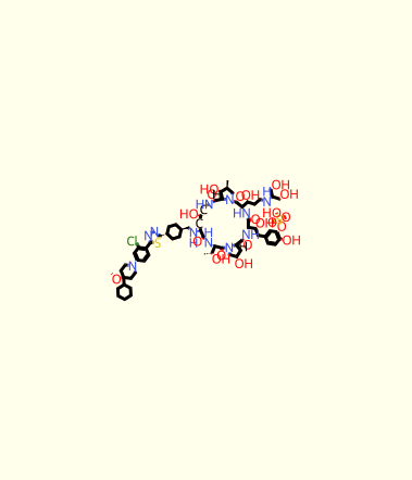 COC1(C2CCCCC2)CCN(c2ccc(-c3nnc([C@H]4CC[C@H](CN[C@H]5C[C@@H](O)CNC(=O)[C@@H]6[C@@H](O)[C@@H](C)CN6C(=O)[C@H]([C@H](O)CCNC(CO)CO)NC(=O)[C@H]([C@H](O)Cc6ccc(O)c(OS(=O)(=O)O)c6)NC(=O)[C@@H]6C[C@@H](O)CN6C(=O)[C@H]([C@@H](C)O)NC5=O)CC4)s3)c(Cl)c2)CC1